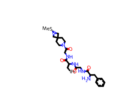 CSN1CC2(CCN(C(=O)CNC(=O)C(CC(C)C)NC(=O)CNC(=O)C(N)Cc3ccccc3)CC2)C1